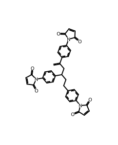 C=C(CC(CCc1ccc(N2C(=O)C=CC2=O)cc1)c1ccc(N2C(=O)C=CC2=O)cc1)c1ccc(N2C(=O)C=CC2=O)cc1